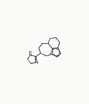 c1cn2c3c1CCCC3CCC(C1=NCCN1)C2